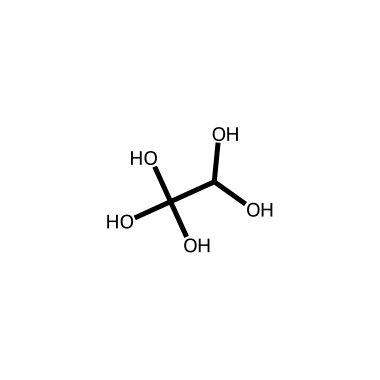 OC(O)C(O)(O)O